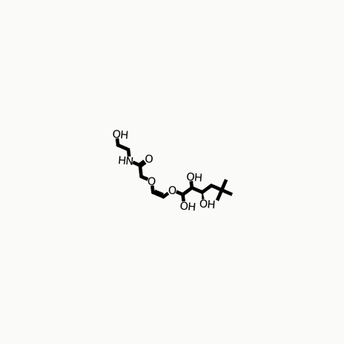 CC(C)(C)C[C@@H](O)C(O)C(O)O/C=C\OCC(=O)NCCO